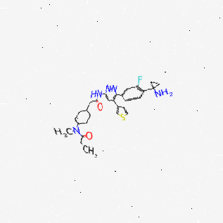 CCC(=O)N(C)C1CCC(CC(=O)Nc2cc(-c3ccsc3)c(-c3ccc(C4(N)CC4)c(F)c3)nn2)CC1